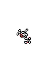 c1ccc(-n2c3ccc([Si](c4ccccc4)(c4ccccc4)c4ccccc4)cc3c3c2ccc2c4cc([Si](c5ccccc5)(c5ccccc5)c5ccccc5)ccc4n(-c4ccccc4)c23)cc1